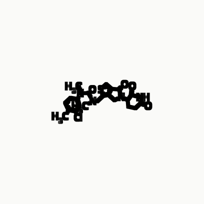 Cc1ccc(N(C)C(=O)N(C)Cc2scc3c2CN(C2CCC(=O)NC2=O)C3=O)cc1Cl